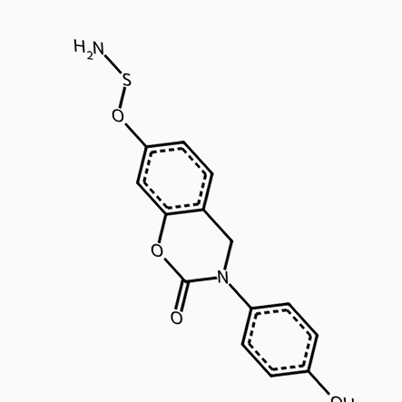 NSOc1ccc2c(c1)OC(=O)N(c1ccc(O)cc1)C2